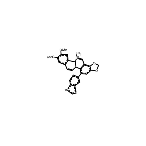 COc1cc2c(cc1OC)C1C(C=C2)c2c(-c3ccc4[nH]cnc4c3)cc3c(c2C=[N+]1C)OCO3